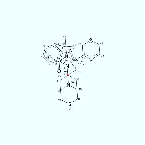 Cc1nc2ccccc2n1C1CC2CSCC(C1)N2CC[C@@H](c1ccccc1)N(C(=O)O)C(C)(C)C